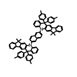 Cc1ccc(C2(c3ccc(C)cc3)c3ccccc3N(c3ccc4cc(N5c6ccccc6C(c6ccc(C)cc6)(c6ccc(C)cc6)c6cc7c(cc65)C(C)(C)c5ccccc5-7)ccc4c3)c3cc4c(cc32)-c2ccccc2C4(C)C)cc1